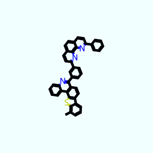 Cc1cccc2c1sc1c2ccc2c(-c3cccc(-c4ccc5ccc6ccc(-c7ccccc7)nc6c5n4)c3)nc3ccccc3c21